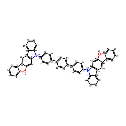 c1ccc2c(c1)oc1cc3c(cc12)c1ccccc1n3-c1ccc(-c2ccc(-c3ccc(-n4c5ccccc5c5cc6c(cc54)oc4ccccc46)cc3)cc2)cc1